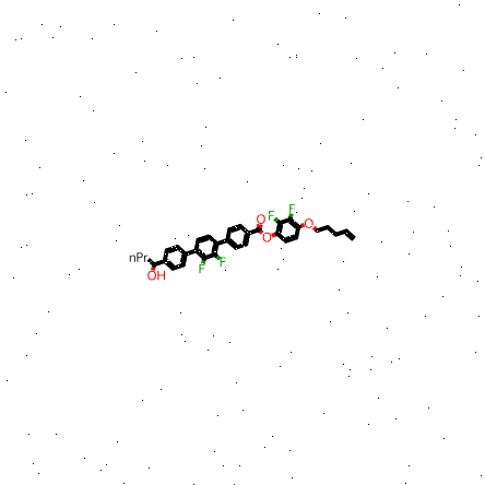 C=CCCCOc1ccc(OC(=O)c2ccc(-c3ccc(-c4ccc(C(O)CCC)cc4)c(F)c3F)cc2)c(F)c1F